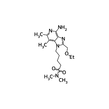 CCOCc1nc2c(N)nc(C)c(C)c2n1CCCCS(=O)(=O)N(C)C